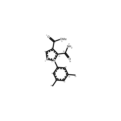 COC(=O)c1cnn(-c2cc(C)cc(C)c2)c1C(N)=O